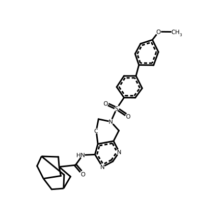 COc1ccc(-c2ccc(S(=O)(=O)N3CCc4c(ncnc4NC(=O)C45CC6CC(CC(C6)C4)C5)C3)cc2)cc1